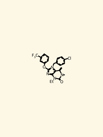 C=C1c2c(nc(Oc3cccc(C(F)(F)F)c3)n2Cc2ccc(Cl)cc2)N(CC)C(=O)N1C